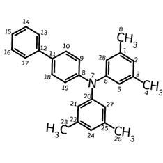 Cc1cc(C)cc(N(c2ccc(-c3ccccc3)cc2)c2cc(C)cc(C)c2)c1